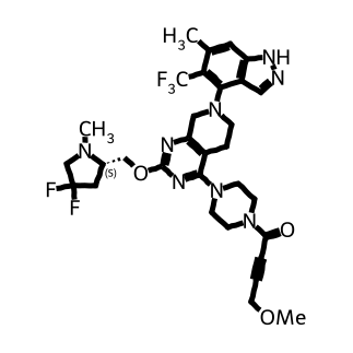 COCC#CC(=O)N1CCN(c2nc(OC[C@@H]3CC(F)(F)CN3C)nc3c2CCN(c2c(C(F)(F)F)c(C)cc4[nH]ncc24)C3)CC1